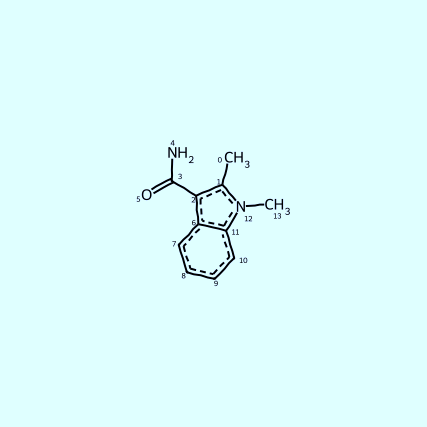 Cc1c(C(N)=O)c2ccccc2n1C